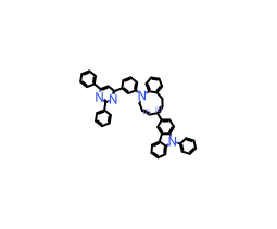 C1=C\C(c2ccc3c(c2)c2ccccc2n3-c2ccccc2)=C/Cc2ccccc2N(c2cccc(-c3cc(-c4ccccc4)nc(-c4ccccc4)n3)c2)C/1